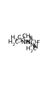 C=Cc1[nH]c(C=Nc2nc(N=C)c(F)cc2F)c(C)c1C